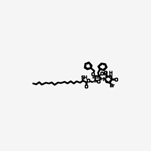 CCCCCCCCCCCCCCCCC(S)C(=O)OC[C@H]1O[C@@H](n2cc(Br)c(=O)[nH]c2=O)[C@@](O)(Cc2ccccc2)[C@@H]1OCc1ccccc1